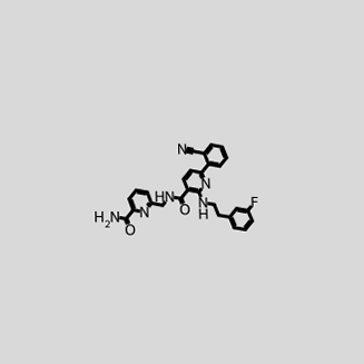 N#Cc1ccccc1-c1ccc(C(=O)NCc2cccc(C(N)=O)n2)c(NCCc2cccc(F)c2)n1